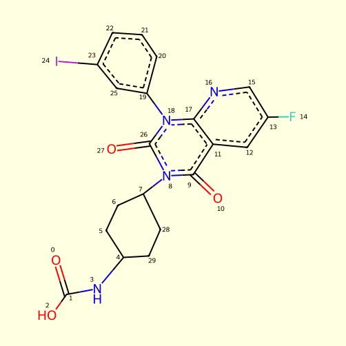 O=C(O)NC1CCC(n2c(=O)c3cc(F)cnc3n(-c3cccc(I)c3)c2=O)CC1